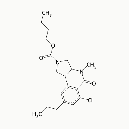 CCCCOC(=O)N1CC2c3cc(CCC)cc(Cl)c3C(=O)N(C)C2C1